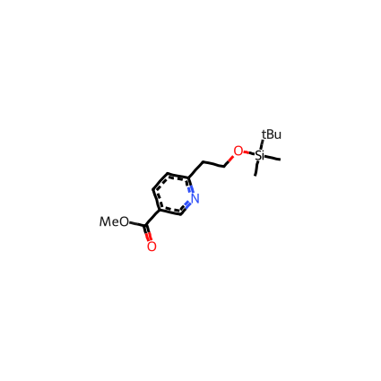 COC(=O)c1ccc(CCO[Si](C)(C)C(C)(C)C)nc1